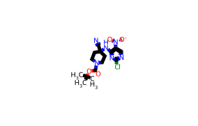 CC(C)(C)OC(=O)N1CCC(C#N)(Nc2nc(Cl)ncc2[N+](=O)[O-])CC1